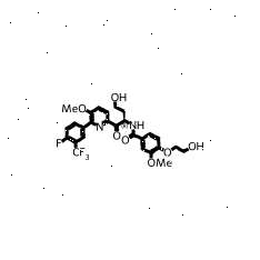 COc1cc(C(=O)N[C@H](CCO)C(=O)c2ccc(OC)c(-c3ccc(F)c(C(F)(F)F)c3)n2)ccc1OCCO